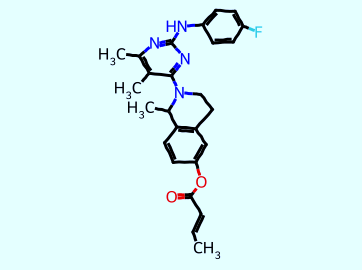 CC=CC(=O)Oc1ccc2c(c1)CCN(c1nc(Nc3ccc(F)cc3)nc(C)c1C)C2C